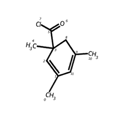 CC1=CC(C)(C(=O)Cl)CC(C)=C1